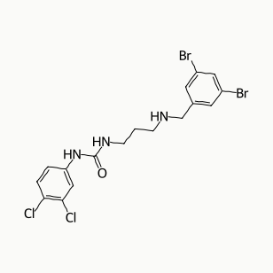 O=C(NCCCNCc1cc(Br)cc(Br)c1)Nc1ccc(Cl)c(Cl)c1